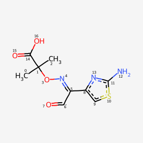 CC(C)(O/N=C(\[C]=O)c1csc(N)n1)C(=O)O